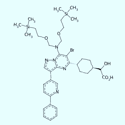 C[Si](C)(C)CCOCN(COCC[Si](C)(C)C)c1c(Br)c([C@H]2CC[C@H](C(O)C(=O)O)CC2)nc2c(-c3ccc(-c4ccccc4)nc3)cnn12